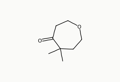 CC1(C)CCOCCC1=O